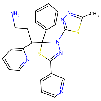 Cc1nnc(N2N=C(c3cccnc3)SC2(c2ccccc2)C(CCN)c2ccccn2)s1